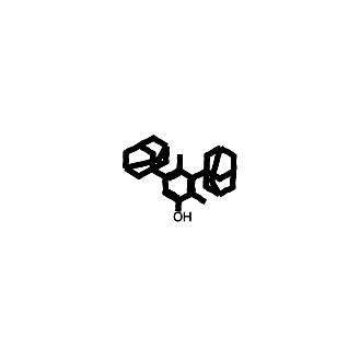 Cc1c(O)cc(C23CC4CC(CC(C4)C2)C3)c(C)c1C12CC3CC(CC(C3)C1)C2